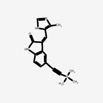 Cc1nc[nH]c1/C=C1\C(=O)Nc2ccc(C#C[Si](C)(C)C)cc21